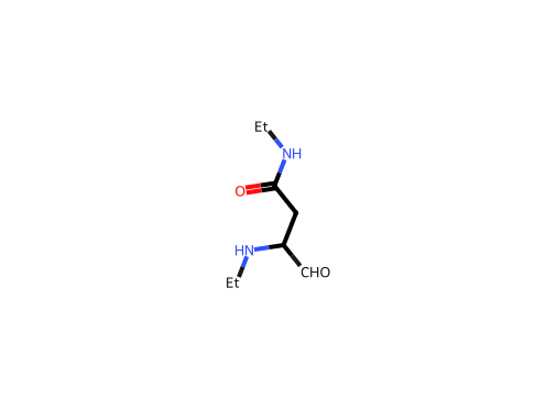 CCNC(=O)CC(C=O)NCC